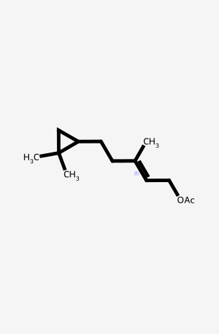 CC(=O)OC/C=C(\C)CCC1CC1(C)C